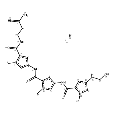 Cn1cc(NC(=O)c2cc(NC(=O)c3cc(NCO)cn3C)cn2C)cc1C(=O)NCCC(=N)N.[Cl-].[H+]